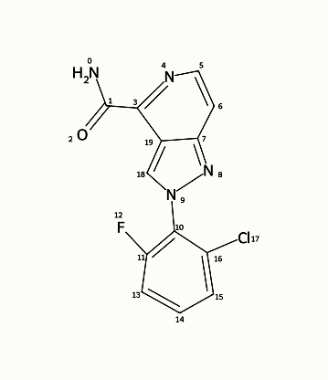 NC(=O)c1nccc2nn(-c3c(F)cccc3Cl)cc12